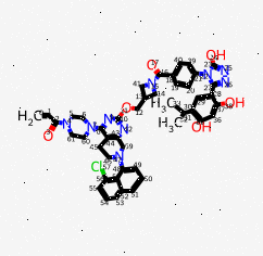 C=CC(=O)N1CCN(c2nc(OCC3CN(C(=O)c4ccc(-n5c(O)nnc5-c5cc(C(C)C)c(O)cc5O)cc4)C3)nc3c2CCN(c2cccc4cccc(Cl)c24)C3)CC1